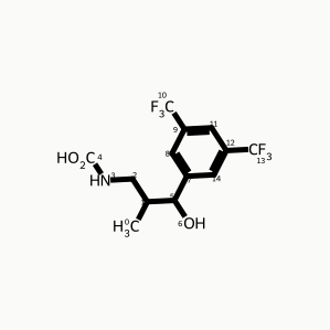 CC(CNC(=O)O)C(O)c1cc(C(F)(F)F)cc(C(F)(F)F)c1